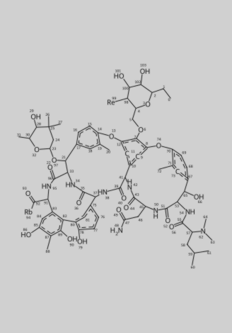 CCC1OC(COc2c3cc4cc2Oc2ccc(cc2C)C(OC2CC(C)(C)C(O)C(C)O2)C2NC(=O)C(NC(=O)C4NC(=O)C(CC(N)=O)NC(=O)C(NC(=O)C(CC(C)C)N(C)C)C(O)c4ccc(c(C)c4)O3)c3ccc(O)c(c3)-c3c(cc(O)c(C)c3O)C([C](=O)[Rb])NC2=O)[CH]([Re])C(O)C1O